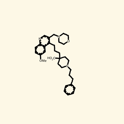 COc1ccc2ncc(CN3CCOCC3)c(CCCC3(C(=O)O)CCN(CCCc4ccccc4)CC3)c2c1